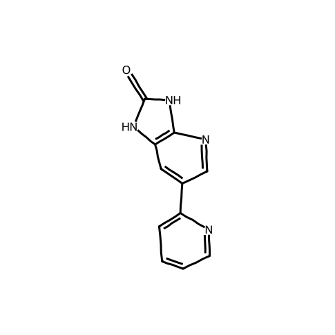 O=c1[nH]c2cc(-c3ccccn3)cnc2[nH]1